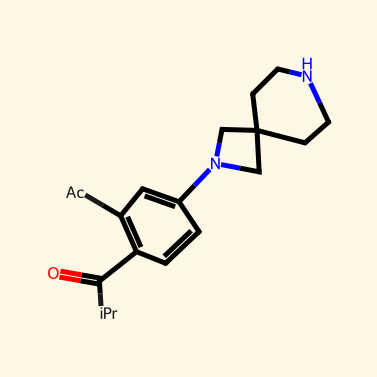 CC(=O)c1cc(N2CC3(CCNCC3)C2)ccc1C(=O)C(C)C